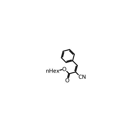 CCCCCCOC(=O)C(C#N)=Cc1ccccc1